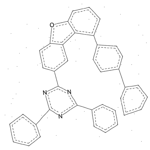 c1ccc(-c2ccc(-c3cccc4oc5ccc(-c6nc(-c7ccccc7)nc(-c7ccccc7)n6)cc5c34)cc2)cc1